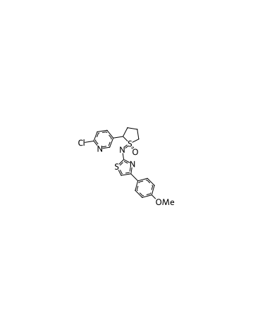 COc1ccc(-c2csc(N=S3(=O)CCCC3c3ccc(Cl)nc3)n2)cc1